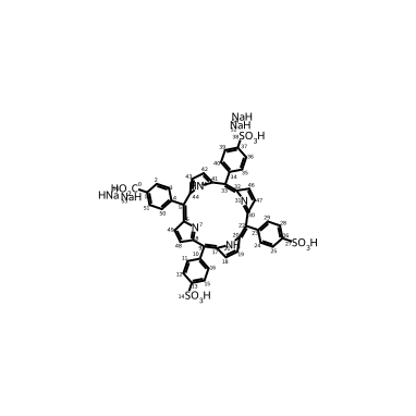 O=C(O)c1ccc(-c2c3nc(c(-c4ccc(S(=O)(=O)O)cc4)c4ccc([nH]4)c(-c4ccc(S(=O)(=O)O)cc4)c4nc(c(-c5ccc(S(=O)(=O)O)cc5)c5ccc2[nH]5)C=C4)C=C3)cc1.[NaH].[NaH].[NaH].[NaH]